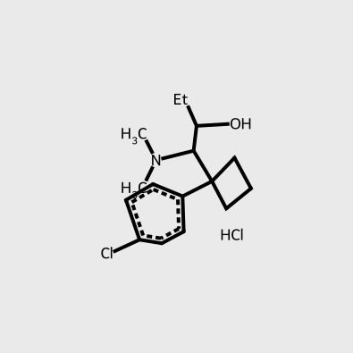 CCC(O)C(N(C)C)C1(c2ccc(Cl)cc2)CCC1.Cl